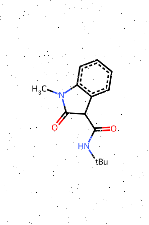 CN1C(=O)[C](C(=O)NC(C)(C)C)c2ccccc21